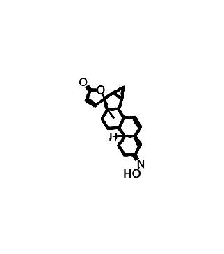 C[C@]12CCC3C(C=CC4=C/C(=N/O)CC[C@@H]43)C1C1CC1[C@@]21C=CC(=O)O1